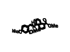 COC(=O)c1cccc2c(NCc3ccc(OC)cc3OC)nccc12